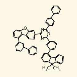 CC1(C)c2ccccc2-c2c(-c3cccc(-c4nc(-c5ccc(-c6ccccc6)cc5)nc(-c5ccc6c(c5)oc5cccc(-c7cccc(-c8ccccc8)c7)c56)n4)c3)cccc21